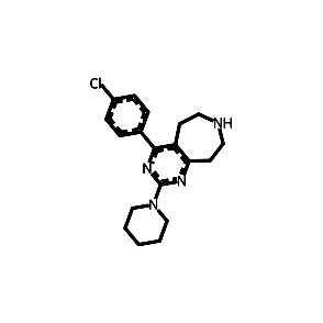 Clc1ccc(-c2nc(N3CCCCC3)nc3c2CCNCC3)cc1